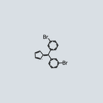 Brc1cccc(C(=C2[C]=CC=C2)c2cccc(Br)c2)c1